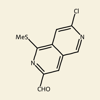 CSc1nc(C=O)cc2cnc(Cl)cc12